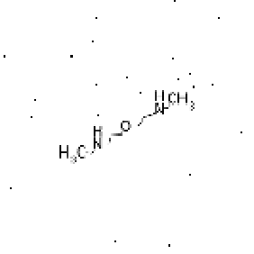 CCNCCCOCCCNCC